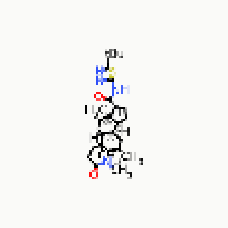 CC1=C2N(C)C(=O)CC[C@]2(C)[C@H]2CC[C@]3(C)[C@@H](C(=O)Nc4nnc(C(C)(C)C)s4)CC[C@H]3[C@@H]2C1